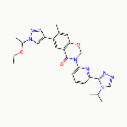 CCOC(C)n1cc(-c2cc3c(cc2C)OCN(c2cccc(-c4nncn4C(C)C)n2)C3=O)cn1